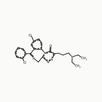 CCN(CC)CCCc1nnc2n(c1=O)-c1ccc(Cl)cc1C(c1ccccc1Cl)=NC2